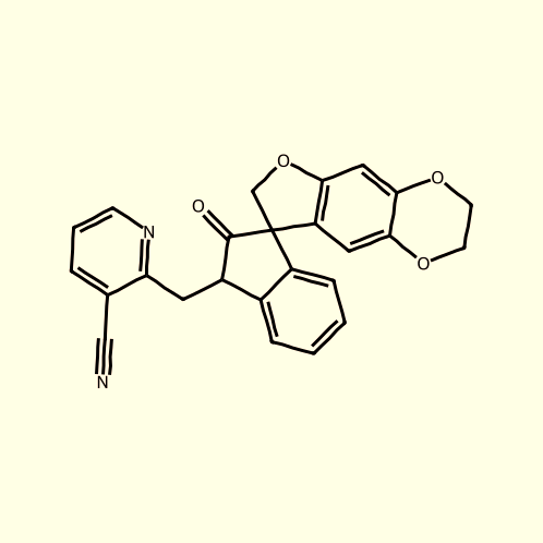 N#Cc1cccnc1CC1C(=O)C2(COc3cc4c(cc32)OCCO4)c2ccccc21